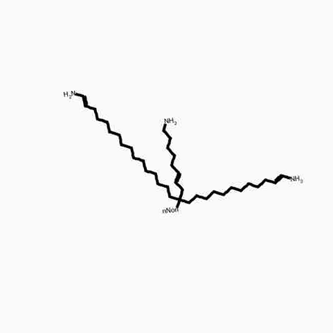 CCCCCCCCCC(CC=CCCCCCN)(CCCCCCCCCCC=CN)CCCCCCCCCCCCCCC=CN